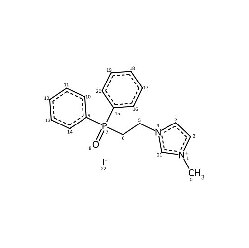 C[n+]1ccn(CCP(=O)(c2ccccc2)c2ccccc2)c1.[I-]